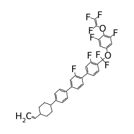 C=CC1CCC(c2ccc(-c3ccc(-c4ccc(C(F)(F)Oc5cc(F)c(OC(F)=C(F)F)c(F)c5)c(F)c4)c(F)c3)cc2)CC1